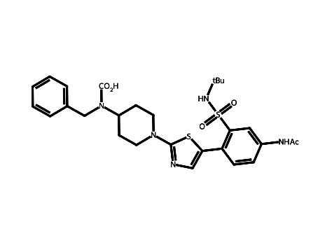 CC(=O)Nc1ccc(-c2cnc(N3CCC(N(Cc4ccccc4)C(=O)O)CC3)s2)c(S(=O)(=O)NC(C)(C)C)c1